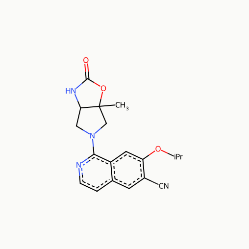 CC(C)Oc1cc2c(N3CC4NC(=O)OC4(C)C3)nccc2cc1C#N